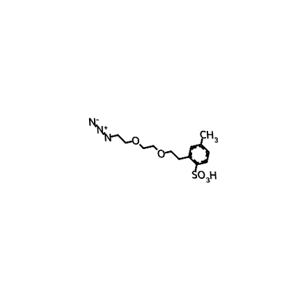 Cc1ccc(S(=O)(=O)O)c(CCOCCOCCN=[N+]=[N-])c1